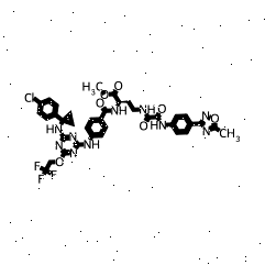 COC(=O)[C@@H](CCNC(=O)C(=O)Nc1ccc(-c2noc(C)n2)cc1)NC(=O)c1ccc(Nc2nc(NC3(c4ccc(Cl)cc4)CC3)nc(OCC(F)(F)F)n2)cc1